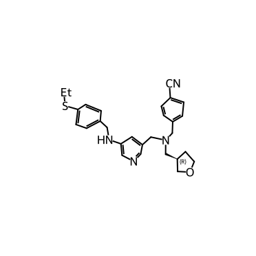 CCSc1ccc(CNc2cncc(CN(Cc3ccc(C#N)cc3)C[C@H]3CCOC3)c2)cc1